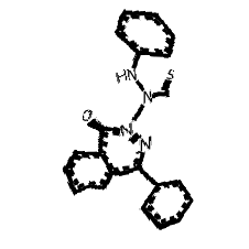 O=c1c2ccccc2c(-c2ccccc2)nn1N(C=S)Nc1ccccc1